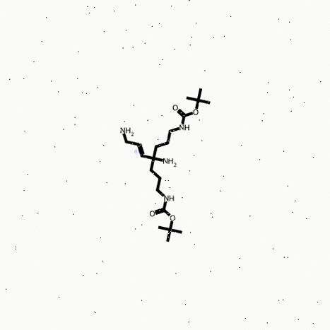 CC(C)(C)OC(=O)NCCCC(N)(/C=C/CN)CCCNC(=O)OC(C)(C)C